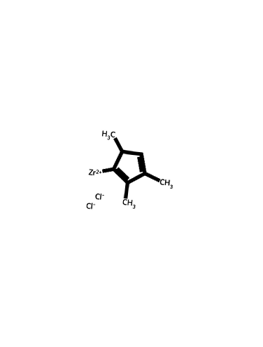 CC1=CC(C)[C]([Zr+2])=C1C.[Cl-].[Cl-]